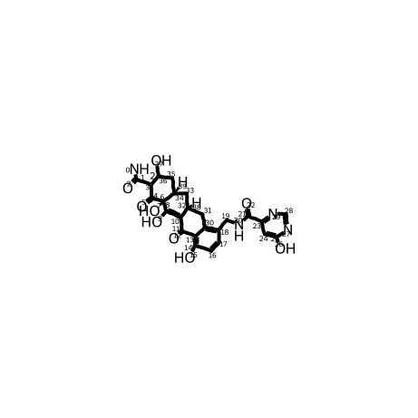 NC(=O)C1C(=O)[C@@]2(O)C(O)=C3C(=O)c4c(O)ccc(CNC(=O)c5cc(O)ncn5)c4C[C@H]3C[C@H]2CC1O